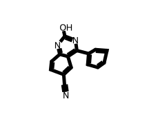 N#Cc1ccc2nc(O)nc(-c3ccccc3)c2c1